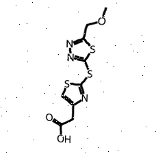 COCc1nnc(Sc2nc(CC(=O)O)cs2)s1